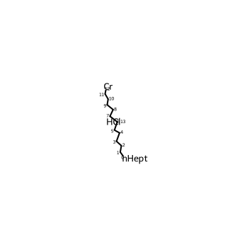 CCCCCCCCCCCCCCCCC[CH2][Cr].Cl